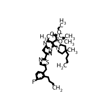 C=CCCc1cc(F)ccc1Cc1cnc(-c2cc3nc(C)c([C@H](OC(C)(C)C)C(=O)OCC)c(N4CCC(C)(CCC=C)CC4)n3n2)s1